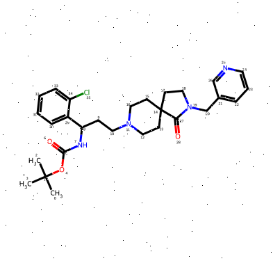 CC(C)(C)OC(=O)NC(CCN1CCC2(CC1)CCN(Cc1cccnc1)C2=O)c1ccccc1Cl